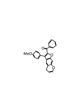 COc1ccc(-c2c(C(=O)c3ccccc3)oc3cc4c(cc23)CC=CO4)cc1